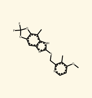 COc1ccnc(CSc2nc3cc4c(c(C)c3[nH]2)OC(F)(F)O4)c1C